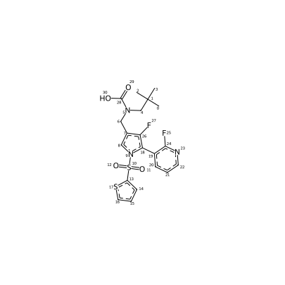 CC(C)(C)CN(Cc1cn(S(=O)(=O)c2cccs2)c(-c2cccnc2F)c1F)C(=O)O